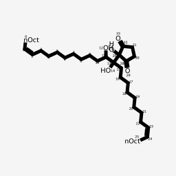 CCCCCCCC/C=C\CCCCCCCCC(O)C(O)(CCCCCCCC/C=C\CCCCCCCC)C1(O)C(=O)CCC1=O